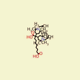 C#CCN1C(C)(C)CC(C(CCCCCCCC(=O)O)(C(=O)O)C2CC(C)(C)N(CC#C)C(C)(C)C2)CC1(C)C